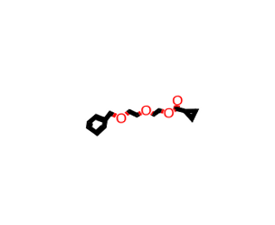 O=C(OCCOCCOCc1ccccc1)C1CC1